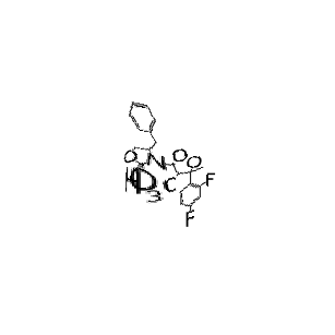 CC(C(=O)N1C(=O)OCC1Cc1ccccc1)C1(c2ccc(F)cc2F)CO1